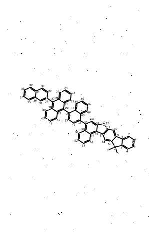 CC1(C)c2ccccc2-c2cc3sc4cc(-c5ccc(-c6c7ccccc7c(-c7ccc8ccccc8c7)c7ccccc67)c6ccccc56)c5ccccc5c4c3cc21